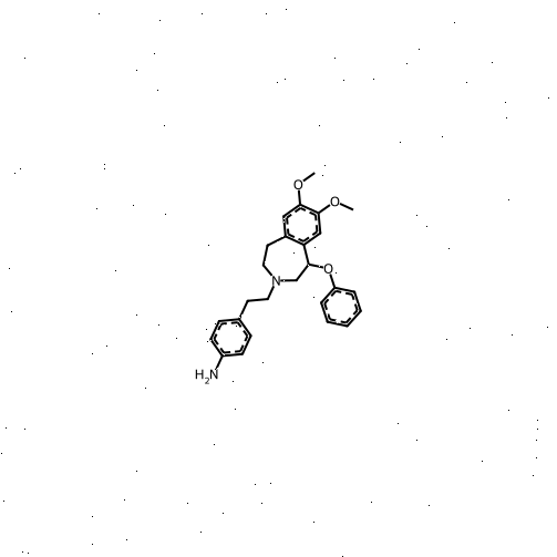 COc1cc2c(cc1OC)C(Oc1ccccc1)CN(CCc1ccc(N)cc1)CC2